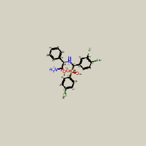 NC(=O)[C@H](NC(c1ccc(F)c(F)c1)S(=O)(=O)c1ccc(Cl)cc1)c1ccccc1